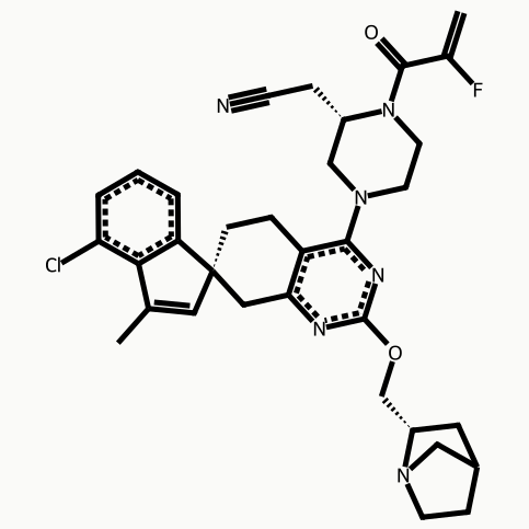 C=C(F)C(=O)N1CCN(c2nc(OC[C@@H]3CC4CCN3C4)nc3c2CC[C@@]2(C=C(C)c4c(Cl)cccc42)C3)C[C@@H]1CC#N